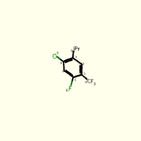 CC(C)c1cc(C(F)(F)F)c(F)cc1Cl